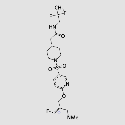 CNC/C(=C/F)COc1ccc(S(=O)(=O)N2CCC(CC(=O)NCC(C)(F)F)CC2)cn1